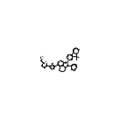 CC1(C)c2ccccc2-c2ccc(-n3c(-c4ccccc4)c4c5c(c(-c6ccc(-c7ccc(C=O)s7)s6)ccc53)CCC4)cc21